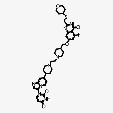 O=c1ccn(-c2cnc3cc(C4CCN(CCN5CCC(COc6cc(F)c7c(=O)[nH]c(CSC8CCOCC8)nc7c6)CC5)CC4)ccn23)c(=O)[nH]1